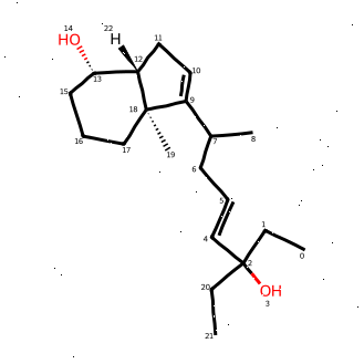 CCC(O)(/C=C/CC(C)C1=CC[C@H]2[C@@H](O)CCC[C@]12C)CC